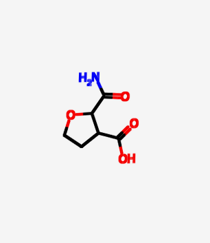 NC(=O)C1OCCC1C(=O)O